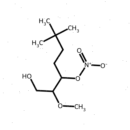 COC(CO)C(CCC(C)(C)C)O[N+](=O)[O-]